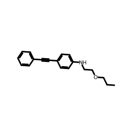 CCCOCCNc1ccc(C#Cc2ccccc2)cc1